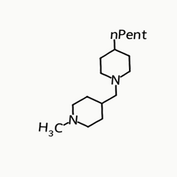 CCCCCC1CCN(CC2CCN(C)CC2)CC1